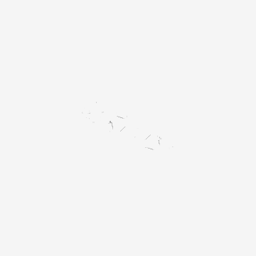 CC(C)c1ccc(COc2ccc(B3OC(C)(C)C(C)(C)O3)cc2)cn1